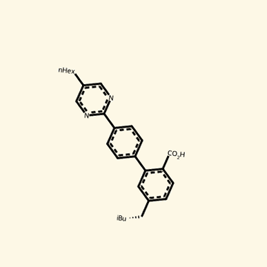 CCCCCCc1cnc(-c2ccc(-c3cc(C[C@@H](C)CC)ccc3C(=O)O)cc2)nc1